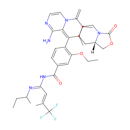 C=C(C1CC[C@H]2COC(=O)N2C1)N1C=CN=C(N)/C1=C(\c1ccc(C(=O)NC(/C=C(\C)C(F)(F)F)=N/C(C)CC)cc1OCC)C(C)CC